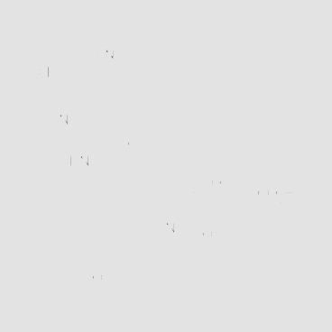 N#Cc1cc(Cl)c(Nc2ccc3c(c2)cc(OCC(=O)O)c(=O)n3CC2COC2)nc1Cl